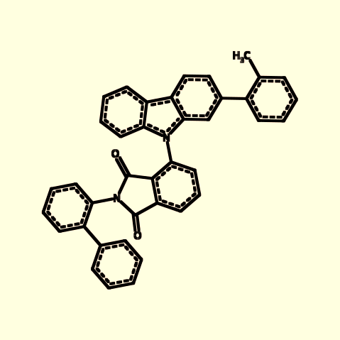 Cc1ccccc1-c1ccc2c3ccccc3n(-c3cccc4c3C(=O)N(c3ccccc3-c3ccccc3)C4=O)c2c1